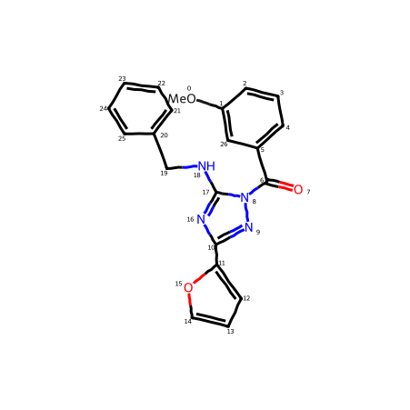 COc1cccc(C(=O)n2nc(-c3ccco3)nc2NCc2ccccc2)c1